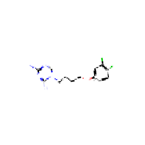 NC1=NCN(CCCCOc2ccc(Cl)c(Cl)c2)C(N)=N1